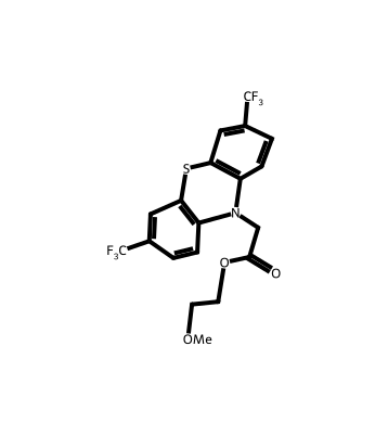 COCCOC(=O)CN1c2ccc(C(F)(F)F)cc2Sc2cc(C(F)(F)F)ccc21